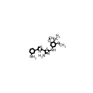 COc1cc(Nc2nc(N)c(-c3nc(-c4cccc(N)c4)cs3)s2)cc(OC)c1OC